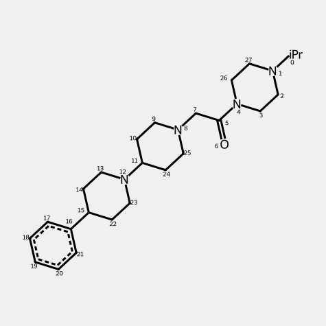 CC(C)N1CCN(C(=O)CN2CCC(N3CCC(c4ccccc4)CC3)CC2)CC1